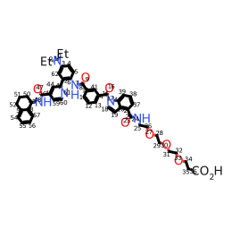 CCN(CC)c1ccc(NC(=O)c2cccc(C(=O)n3ccc4c(C(=O)NCCOCCOCCOCCC(=O)O)cccc43)c2)c(-c2cc(C(=O)NC3CCCc4ccccc43)ccn2)c1